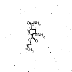 C=CCOC(=O)c1ccc(C(N)=O)cc1N